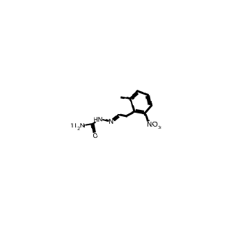 Cc1cccc([N+](=O)[O-])c1C/C=N/NC(N)=O